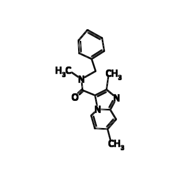 Cc1ccn2c(C(=O)N(C)Cc3ccccc3)c(C)nc2c1